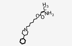 CC(N)=CC(=O)OCCCCCCN1CCC(c2ccccc2)CC1